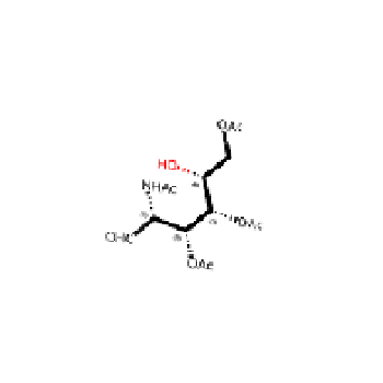 CC(=O)N[C@@H](C=O)[C@@H](OC(C)=O)[C@@H](OC(C)=O)[C@H](O)COC(C)=O